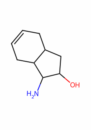 NC1C(O)CC2CC=CCC21